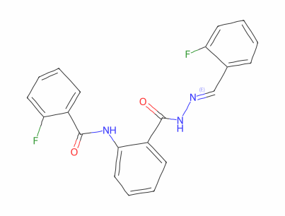 O=C(Nc1ccccc1C(=O)N/N=C/c1ccccc1F)c1ccccc1F